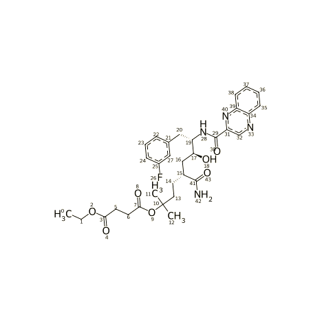 CCOC(=O)CCC(=O)OC(C)(C)CC[C@H](C[C@H](O)[C@H](Cc1cccc(F)c1)NC(=O)c1cnc2ccccc2n1)C(N)=O